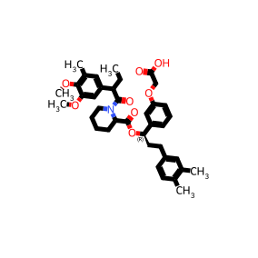 CCC(C(=O)N1CCCCC1C(=O)O[C@H](CCc1ccc(C)c(C)c1)c1cccc(OCC(=O)O)c1)c1cc(C)c(OC)c(OC)c1